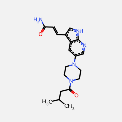 CC(C)CC(=O)N1CCN(c2cnc3[nH]cc(/C=C/C(N)=O)c3c2)CC1